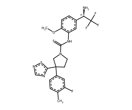 COc1ccc([C@@H](N)C(F)(F)F)cc1NC(=S)N1CCC(c2ccc(C)c(F)c2)(c2ncns2)C1